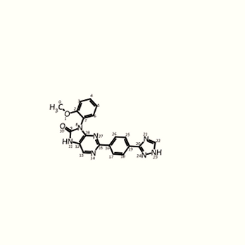 COc1ccccc1-n1c(=O)[nH]c2cnc(-c3ccc(-c4nc[nH]n4)cc3)nc21